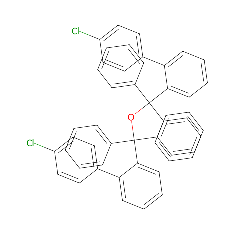 Clc1ccc(-c2ccccc2C(OC(c2ccccc2)(c2ccccc2)c2ccccc2-c2ccc(Cl)cc2)(c2ccccc2)c2ccccc2)cc1